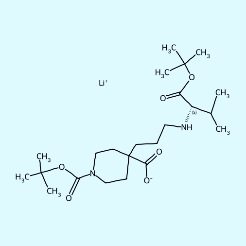 CC(C)[C@H](NCCCC1(C(=O)[O-])CCN(C(=O)OC(C)(C)C)CC1)C(=O)OC(C)(C)C.[Li+]